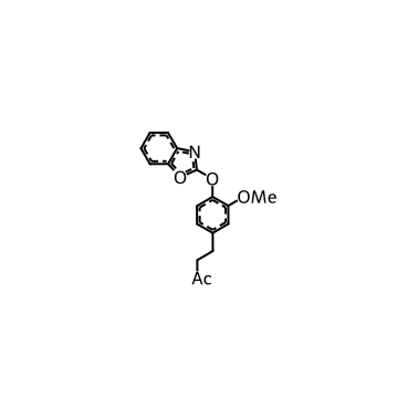 COc1cc(CCC(C)=O)ccc1Oc1nc2ccccc2o1